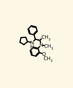 COc1ccccc1N(C)C(C)C(NC1CCCC1)c1ccccc1